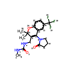 CNC(=O)NCC1=C(N2CCCC2=O)c2cc(C(F)(F)F)ccc2OC1(C)C